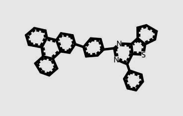 c1ccc(-c2nc(-c3ccc(-c4ccc5c6ccccc6c6ccccc6c5c4)cc3)nc3c2sc2ccccc23)cc1